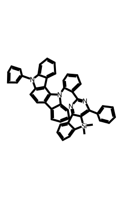 C[Si]1(C)c2ccccc2-c2nc(-c3ccccc3-n3c4ccccc4c4ccc5c(c6ccccc6n5-c5ccccc5)c43)nc(-c3ccccc3)c21